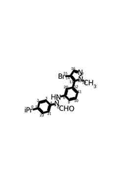 CC(C)c1ccc(N(C=O)Nc2cccc(-c3c(Br)cnn3C)c2)cc1